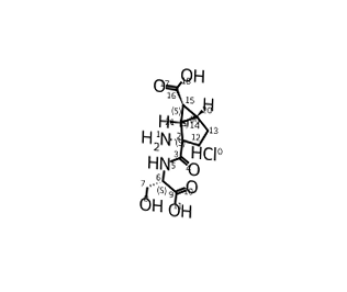 Cl.N[C@@]1(C(=O)N[C@@H](CO)C(=O)O)CC[C@H]2[C@H](C(=O)O)[C@H]21